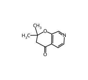 CC1(C)CC(=O)c2ccncc2O1